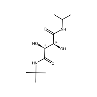 CC(C)NC(=O)[C@@H](O)[C@H](O)C(=O)NC(C)(C)C